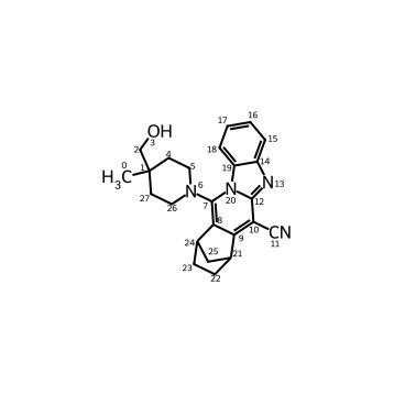 CC1(CO)CCN(c2c3c(c(C#N)c4nc5ccccc5n24)C2CCC3C2)CC1